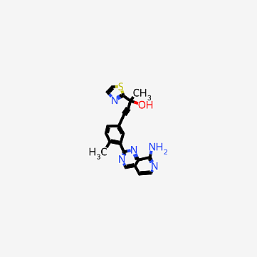 Cc1ccc(C#CC(C)(O)c2nccs2)cc1-c1ncc2ccnc(N)c2n1